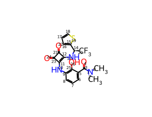 CN(C)C(=O)c1cccc(Nc2c(N[C@@H](c3cccs3)C(F)(F)F)c(=O)c2=O)c1O